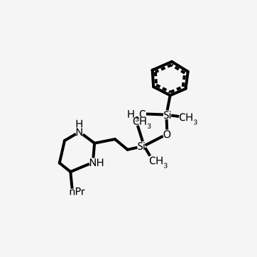 CCCC1CCNC(CC[Si](C)(C)O[Si](C)(C)c2ccccc2)N1